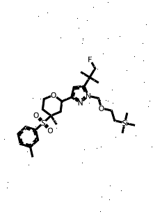 Cc1cccc(S(=O)(=O)C2(C)CCOC(c3cc(C(C)(C)CF)n(COCC[Si](C)(C)C)n3)C2)c1